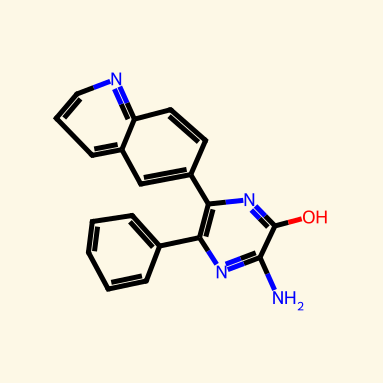 Nc1nc(-c2ccccc2)c(-c2ccc3ncccc3c2)nc1O